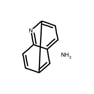 N.c1cc2nc3ccc2cc13